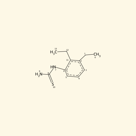 CCc1cccc(NC(N)=S)c1CC